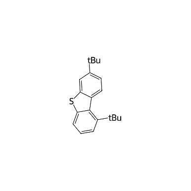 CC(C)(C)c1ccc2c(c1)sc1cccc(C(C)(C)C)c12